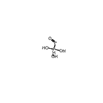 O=P[PH](O)(O)O